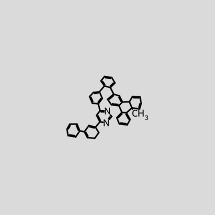 CC12C=CC=CC1c1cc(-c3ccccc3-c3cccc(-c4cc(C5=CC(c6ccccc6)=CCC5)ncn4)c3)ccc1-c1ccccc12